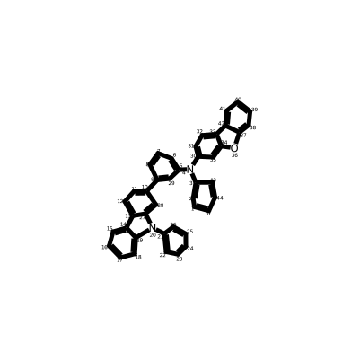 c1ccc(N(c2cccc(-c3ccc4c5ccccc5n(-c5ccccc5)c4c3)c2)c2ccc3c(c2)oc2ccccc23)cc1